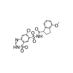 COc1cccc2c1CCC2C(=O)NS(=O)(=O)c1cc2c(cc1Cl)N=CNS2(=O)=O